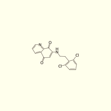 O=C1C=C(NCCc2c(Cl)cccc2Cl)C(=O)c2ncccc21